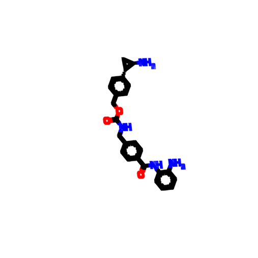 Nc1ccccc1NC(=O)c1ccc(CNC(=O)OCc2ccc([C@@H]3C[C@H]3N)cc2)cc1